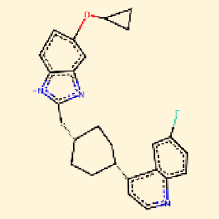 Fc1ccc2nccc([C@H]3CC[C@@H](Cc4nc5cc(OC6CC6)ccc5[nH]4)CC3)c2c1